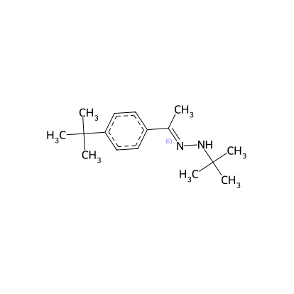 C/C(=N\NC(C)(C)C)c1ccc(C(C)(C)C)cc1